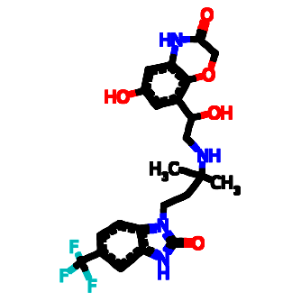 CC(C)(CCn1c(=O)[nH]c2cc(C(F)(F)F)ccc21)NCC(O)c1cc(O)cc2c1OCC(=O)N2